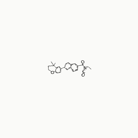 CC[N+](=C=O)C(=O)c1ccc2cc(-c3ccc4c(c3)C(C)(C)CCO4)ccc2c1